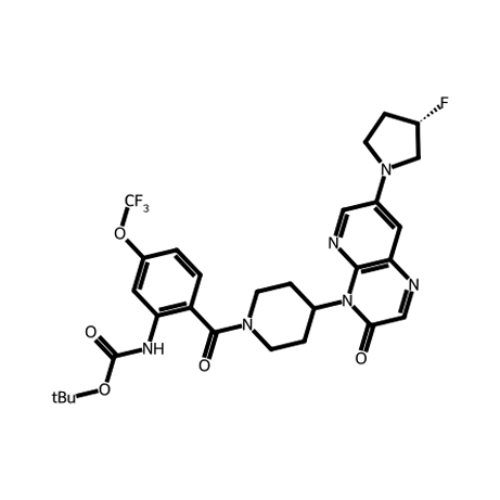 CC(C)(C)OC(=O)Nc1cc(OC(F)(F)F)ccc1C(=O)N1CCC(n2c(=O)cnc3cc(N4CC[C@H](F)C4)cnc32)CC1